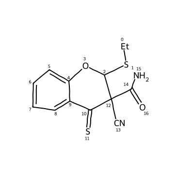 CCSC1Oc2ccccc2C(=S)C1(C#N)C(N)=O